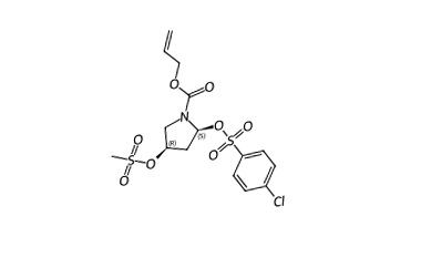 C=CCOC(=O)N1C[C@H](OS(C)(=O)=O)C[C@@H]1OS(=O)(=O)c1ccc(Cl)cc1